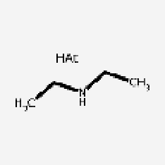 CCNCC.[AtH]